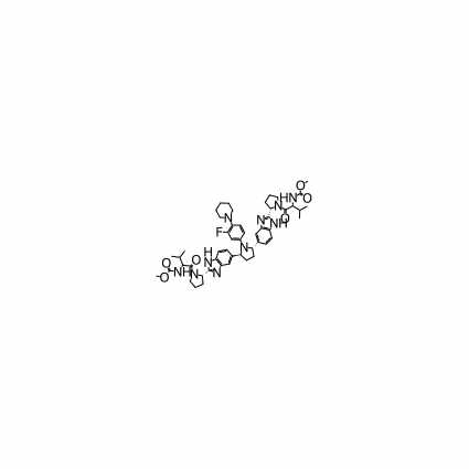 COC(=O)N[C@H](C(=O)N1CCC[C@H]1c1nc2cc([C@@H]3CC[C@@H](c4ccc5[nH]c([C@@H]6CCCN6C(=O)[C@@H](NC(=O)OC)C(C)C)nc5c4)N3c3ccc(N4CCCCC4)c(F)c3)ccc2[nH]1)C(C)C